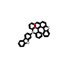 c1ccc(N(c2ccc3c(c2)oc2ccccc23)c2ccccc2-c2cccc3ccc4sc5ccccc5c4c23)cc1